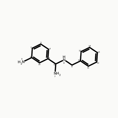 Nc1cccc(C(N)NCc2ccccc2)c1